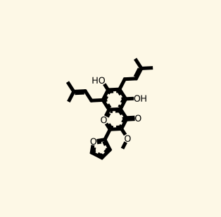 COc1c(-c2ccco2)oc2c(CC=C(C)C)c(O)c(CC=C(C)C)c(O)c2c1=O